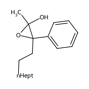 CCCCCCCCCC1(c2ccccc2)OC1(C)O